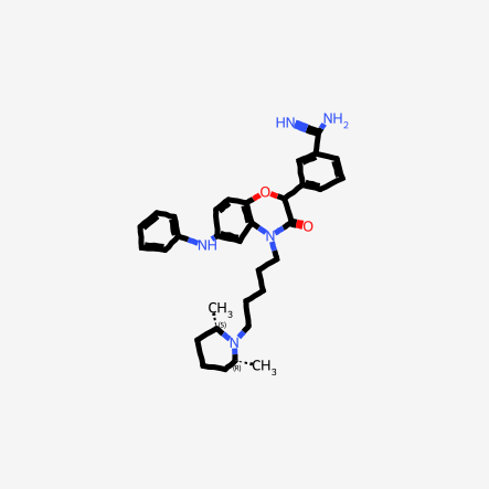 C[C@@H]1CCC[C@H](C)N1CCCCCN1C(=O)C(c2cccc(C(=N)N)c2)Oc2ccc(Nc3ccccc3)cc21